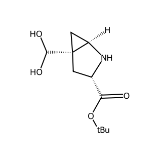 CC(C)(C)OC(=O)[C@@H]1C[C@@]2(C(O)O)C[C@H]2N1